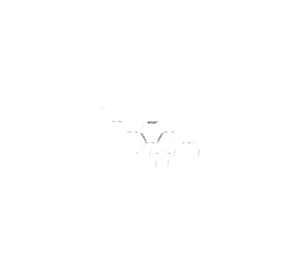 Cc1c(CCCF)ccc(CCCF)c1S(F)(F)(F)(F)F